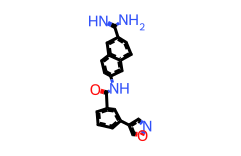 N=C(N)c1ccc2cc(NC(=O)c3cccc(-c4cnoc4)c3)ccc2c1